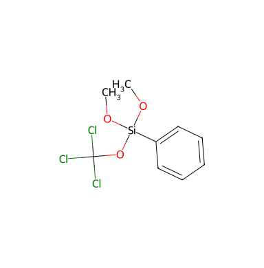 CO[Si](OC)(OC(Cl)(Cl)Cl)c1ccccc1